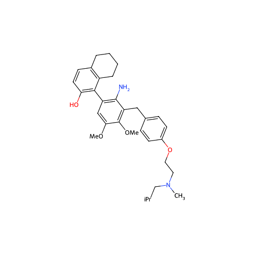 COc1cc(-c2c(O)ccc3c2CCCC3)c(N)c(Cc2ccc(OCCN(C)CC(C)C)cc2)c1OC